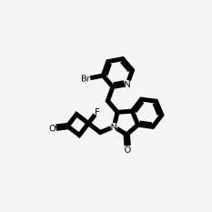 O=C1CC(F)(CN2C(=O)c3ccccc3C2Cc2ncccc2Br)C1